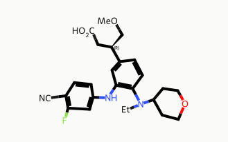 CCN(c1ccc([C@H](COC)CC(=O)O)cc1Nc1ccc(C#N)c(F)c1)C1CCOCC1